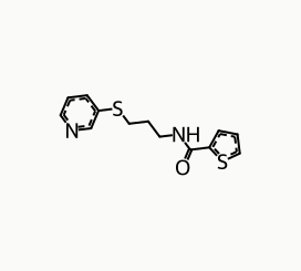 O=C(NCCCSc1cccnc1)c1cccs1